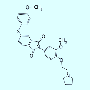 COc1ccc(Sc2ccc3c(c2)C(=O)N(c2ccc(OCCN4CCCC4)c(OC)c2)C3=O)cc1